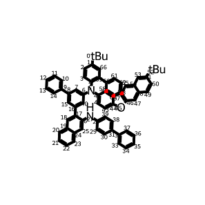 CC(C)(C)c1ccc(N(c2cc(-c3ccccc3)cc(-c3cc4ccccc4cc3Nc3ccc(-c4ccccc4)cc3)c2)c2ccc3oc4cc5ccc(C(C)(C)C)cc5cc4c3c2)c(-c2ccccc2)c1